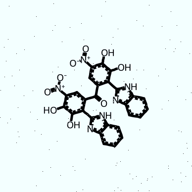 O=C(c1cc([N+](=O)[O-])c(O)c(O)c1-c1nc2ccccc2[nH]1)c1cc([N+](=O)[O-])c(O)c(O)c1-c1nc2ccccc2[nH]1